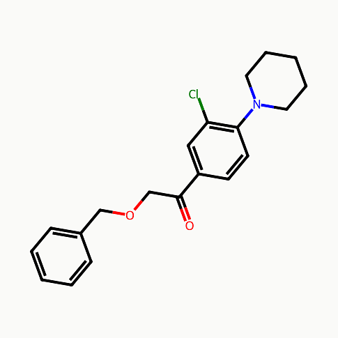 O=C(COCc1ccccc1)c1ccc(N2CCCCC2)c(Cl)c1